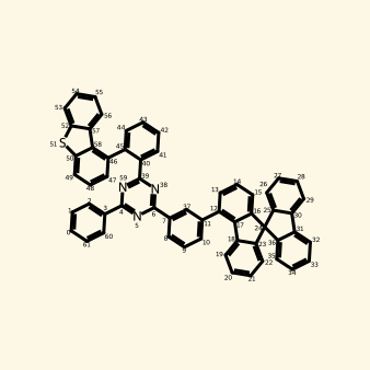 c1ccc(-c2nc(-c3cccc(-c4cccc5c4-c4ccccc4C54c5ccccc5-c5ccccc54)c3)nc(-c3ccccc3-c3cccc4sc5ccccc5c34)n2)cc1